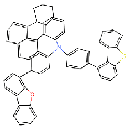 c1ccc(N(c2ccc(-c3cccc4c3oc3ccccc34)cc2)c2ccc(-c3cccc4sc5ccccc5c34)cc2)c(-c2cccc3cccc(C4CCCCC4)c23)c1